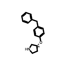 c1ccc(Cc2ccc(O[C@@H]3CCNC3)cc2)cc1